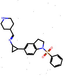 O=S(=O)(c1ccccc1)N1CCc2cc(C3CC3N=CC3CCNCC3)ccc21